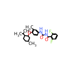 Cc1cc(NC(=O)NC(=O)c2c(F)cccc2F)ccc1OC1CC(C)CCC1C(C)C